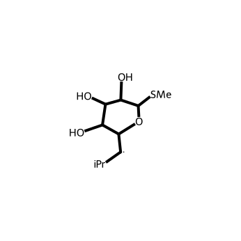 CSC1OC([CH]C(C)C)C(O)C(O)C1O